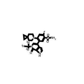 [2H]C([2H])([2H])n1cc(-c2cc(S(N)(=O)=O)c(F)cc2N2CCC3(CC2)CC3)c2cc[nH]c2c1=O